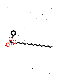 CCCCCCCCCCCCCCCCCCO[C@@H](C)[C@H](COC)OCc1ccccc1